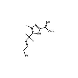 COC(=N)c1nc(C)c(C(I)(I)/C=C/CC(C)C)[nH]1